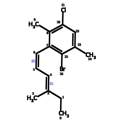 CC/C(C)=C/C=C\c1c(C)c(Cl)cc(C)c1Br